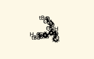 CC(C)(C)OC(=O)N1CCO[C@@H](C(=O)Nc2cc(-c3ccc(O[Si](C)(C)C(C)(C)C)cc3)cc3c2cnn3C2CCCCO2)C1